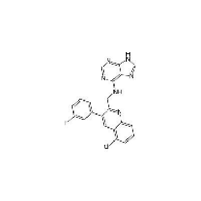 Fc1cccc(-c2cc3c(Cl)cccc3nc2CNc2ncnc3[nH]cnc23)c1